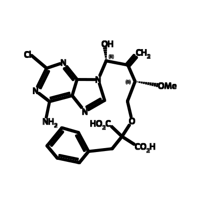 C=C([C@@H](O)n1cnc2c(N)nc(Cl)nc21)[C@@H](COC(Cc1ccccc1)(C(=O)O)C(=O)O)OC